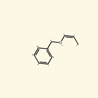 C/C=C\OCc1ccccc1